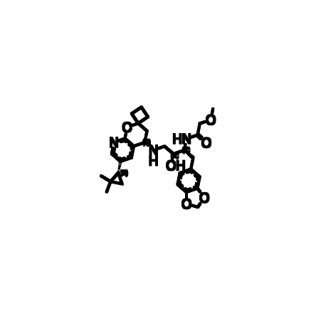 COCC(=O)N[C@@H](Cc1ccc2c(c1)OCO2)[C@H](O)CN[C@H]1CC2(CCC2)Oc2ncc([C@@H]3CC3(C)C)cc21